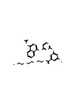 COCCOCCOCCNC(=O)c1cc(Nc2nccc(Oc3ccc(NC(=O)O)c4ccccc34)n2)cc(OC)c1